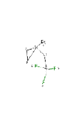 CCC1(CC(F)(F)F)CC1